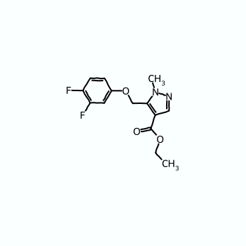 CCOC(=O)c1cnn(C)c1COc1ccc(F)c(F)c1